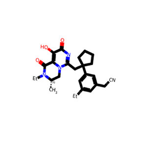 CCc1cc(CC#N)cc(C2(Cc3nc(=O)c(O)c4n3C[C@H](C)N(CC)C4=O)CCCC2)c1